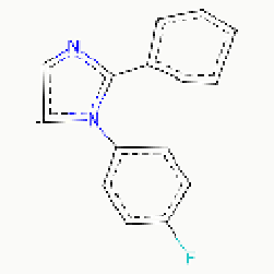 Fc1ccc(-n2[c]cnc2-c2ccccc2)cc1